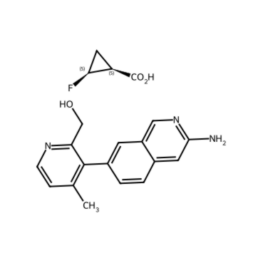 Cc1ccnc(CO)c1-c1ccc2cc(N)ncc2c1.O=C(O)[C@@H]1C[C@@H]1F